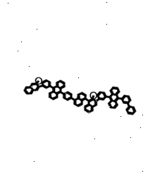 c1ccc(-c2cccc(-c3c4ccccc4c(-c4ccc5oc6c(-c7cccc8c(-c9ccc(-c%10c%11ccccc%11c(-c%11ccc%12oc%13cc%14ccccc%14cc%13c%12c%11)c%11ccccc%10%11)cc9)cccc78)c7ccccc7cc6c5c4)c4ccccc34)c2)cc1